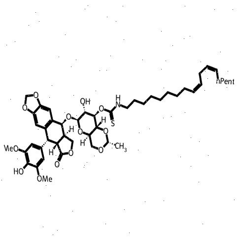 CCCCC/C=C\C/C=C\CCCCCCCCNC(=S)O[C@@H]1[C@@H](O)[C@H](O[C@@H]2c3cc4c(cc3[C@@H](c3cc(OC)c(O)c(OC)c3)[C@H]3C(=O)OC[C@@H]32)OCO4)O[C@@H]2CO[C@@H](C)O[C@@H]12